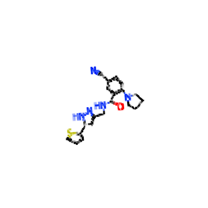 N#Cc1ccc(N2CCCC2)c(C(=O)NCc2cc(-c3cccs3)[nH]n2)c1